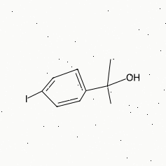 [CH2]C(C)(O)c1ccc(I)cc1